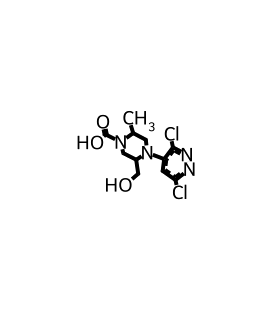 CC1CN(c2cc(Cl)nnc2Cl)C(CO)CN1C(=O)O